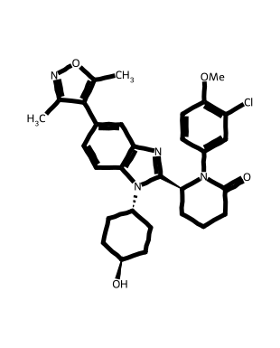 COc1ccc(N2C(=O)CCC[C@H]2c2nc3cc(-c4c(C)noc4C)ccc3n2[C@H]2CC[C@H](O)CC2)cc1Cl